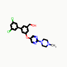 CN1CCN(c2ncc(Oc3cc(CO)cc(-c4cc(Cl)cc(Cl)c4)c3)cn2)CC1